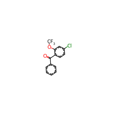 O=C(c1ccccc1)c1ccc(Cl)cc1OC(F)(F)F